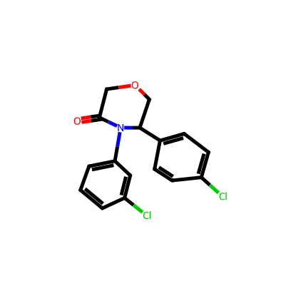 O=C1COCC(c2ccc(Cl)cc2)N1c1cccc(Cl)c1